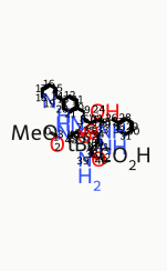 COC(=O)N[C@H](C(=O)N[C@@H](Cc1ccc(-c2ccccn2)cc1)C[C@H](O)[C@H](Cc1ccccc1)NC(=O)[C@H](CC(N)=O)NC(=O)O)C(C)(C)C